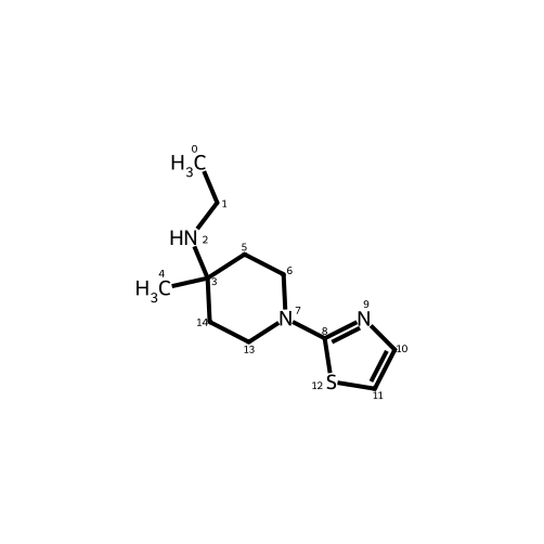 CCNC1(C)CCN(c2nccs2)CC1